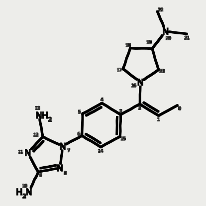 CC=C(c1ccc(-n2nc(N)nc2N)cc1)N1CCC(N(C)C)C1